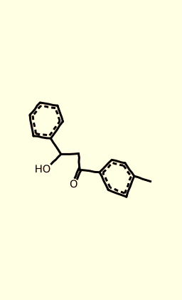 Cc1ccc(C(=O)CC(O)c2ccccc2)cc1